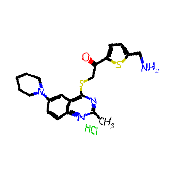 Cc1nc(SCC(=O)c2ccc(CN)s2)c2cc(N3CCCCC3)ccc2n1.Cl